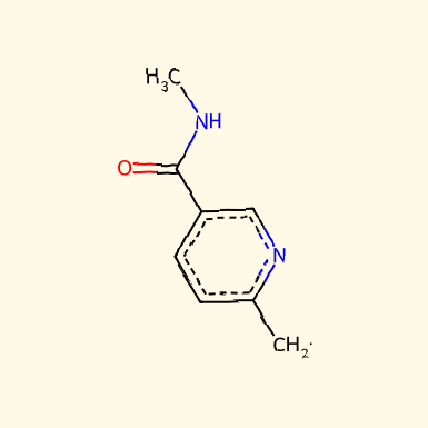 [CH2]c1ccc(C(=O)NC)cn1